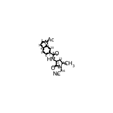 CC(=O)n1ccc2ccc(C(=O)NC3CC(C)N(CC#N)C3=O)cc21